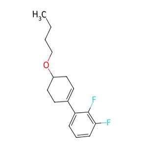 CCCCOC1CC=C(c2cccc(F)c2F)CC1